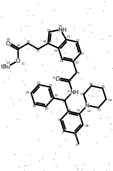 Cc1ccc(C(NC(=O)Cc2ccc3[nH]cc(CCC(=O)OC(C)(C)C)c3c2)c2ccccc2)c(N2CCCCC2)c1